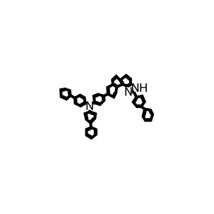 c1ccc(-c2ccc(-c3nc4c(ccc5ccc6cc(-c7ccc(N(c8ccc(-c9ccccc9)cc8)c8ccc(-c9ccccc9)cc8)cc7)ccc6c54)[nH]3)cc2)cc1